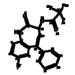 O=C1Nc2ccc(Br)cc2C(c2ccccc2)=NC1OC(=O)C(F)(F)F